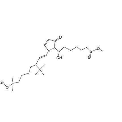 COC(=O)CCCCCC(O)C1C(=O)C=CC1C=CC(CCCCC(C)(C)O[SiH3])C(C)(C)C